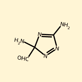 NC1=NC(N)(C=O)N=N1